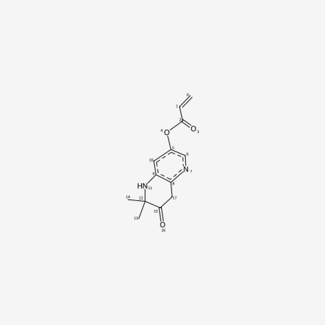 C=CC(=O)Oc1cnc2c(c1)NC(C)(C)C(=O)C2